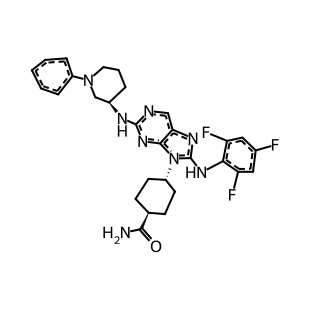 NC(=O)[C@H]1CC[C@H](n2c(Nc3c(F)cc(F)cc3F)nc3cnc(N[C@@H]4CCCN(c5ccccc5)C4)nc32)CC1